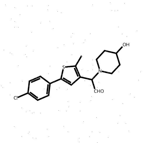 Cc1sc(-c2ccc(Cl)cc2)cc1C(C=O)N1CCC(O)CC1